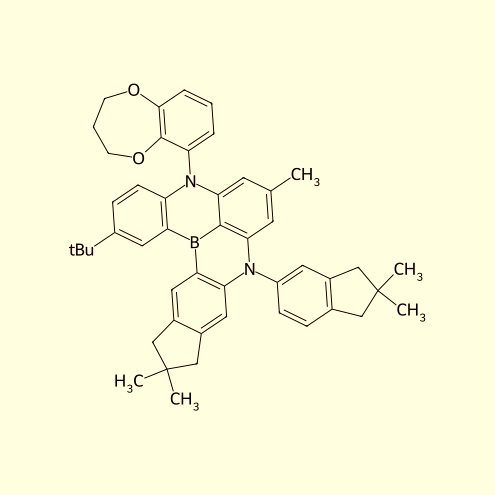 Cc1cc2c3c(c1)N(c1cccc4c1OCCCO4)c1ccc(C(C)(C)C)cc1B3c1cc3c(cc1N2c1ccc2c(c1)CC(C)(C)C2)CC(C)(C)C3